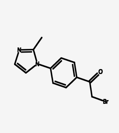 Cc1nccn1-c1ccc(C(=O)CBr)cc1